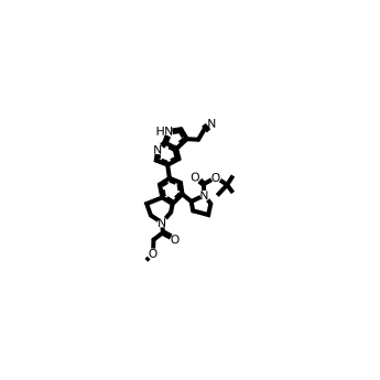 COCC(=O)N1CCc2cc(-c3cnc4[nH]cc(CC#N)c4c3)cc(C3CCCN3C(=O)OC(C)(C)C)c2C1